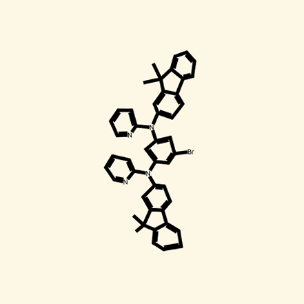 CC1(C)c2ccccc2-c2ccc(N(c3cc(Br)cc(N(c4ccc5c(c4)C(C)(C)c4ccccc4-5)c4ccccn4)c3)c3ccccn3)cc21